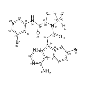 Nc1ncnc2c1c1ccc(Br)cc1n2CC(=O)N1[C@@H]2CC2C[C@H]1C(=O)Nc1cccc(Br)n1